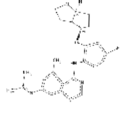 Cc1cc(N=S(C)C)cc2ncnc(Nc3ccc(F)cc3O[C@@H]3CC[C@@H]4OCCC43)c12